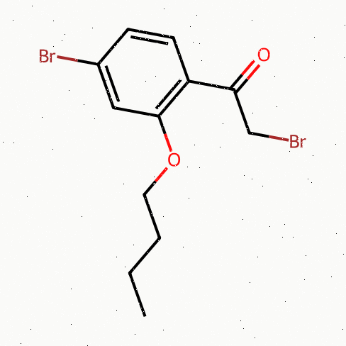 CCCCOc1cc(Br)ccc1C(=O)CBr